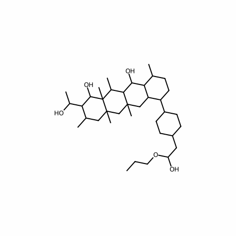 CCCOC(O)CC1CCC(C2CCC(C)C3C(O)C4C(C)C5(C)C(O)C(C(C)O)C(C)CC5(C)CC4(C)CC23)CC1